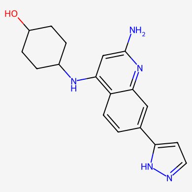 Nc1cc(NC2CCC(O)CC2)c2ccc(-c3ccn[nH]3)cc2n1